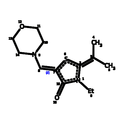 CCn1c(=C(C)C)s/c(=C\N2CCOCC2)c1=O